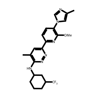 COc1nc(-c2cc(C)c(NC3CCCC(C(F)(F)F)C3)nn2)ccc1-n1cnc(C)c1